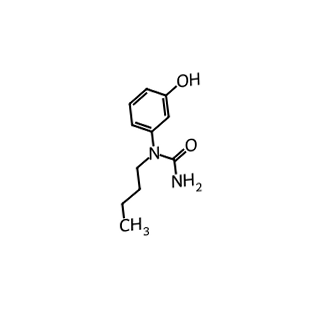 CCCCN(C(N)=O)c1cccc(O)c1